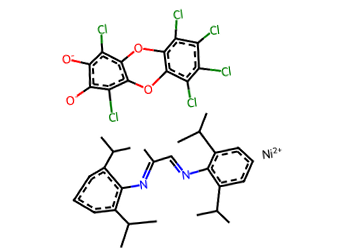 CC(C=Nc1c(C(C)C)cccc1C(C)C)=Nc1c(C(C)C)cccc1C(C)C.[Ni+2].[O-]c1c([O-])c(Cl)c2c(c1Cl)Oc1c(Cl)c(Cl)c(Cl)c(Cl)c1O2